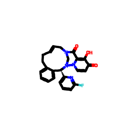 O=C1c2c(O)c(=O)ccn2N2CN1C/C=C/CCc1ccccc1[C@H]2c1cccc(F)n1